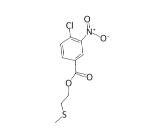 CSCCOC(=O)c1ccc(Cl)c([N+](=O)[O-])c1